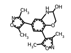 Cc1noc(C)c1-c1cc2c(c(-c3c(C)noc3C)c1)OCC(O)N2